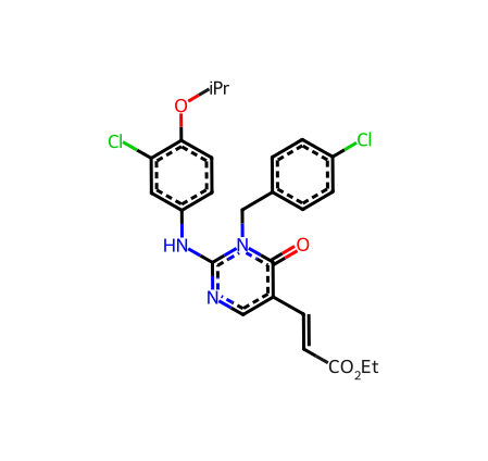 CCOC(=O)C=Cc1cnc(Nc2ccc(OC(C)C)c(Cl)c2)n(Cc2ccc(Cl)cc2)c1=O